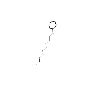 CCCCCCCCCCc1[c]nccc1